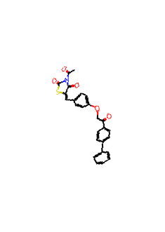 CC(=O)N1C(=O)SC(=Cc2ccc(OCC(=O)c3ccc(-c4ccccc4)cc3)cc2)C1=O